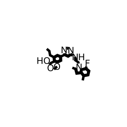 CCCc1cc(-c2cc(NCCn3c(C)cc4c(C)ccc(F)c43)ncn2)cc(OC)c1C(=O)O